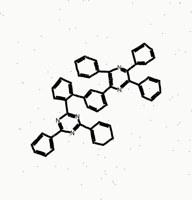 C1=CC(c2nc(-c3ccccc3)nc(-c3ccccc3-c3cccc(-c4nc(-c5ccccc5)c(-c5ccccc5)nc4-c4ccccc4)c3)n2)=CCC1